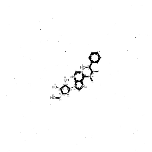 C[C@H]([C@@H](O)c1ccccc1)N(C)c1ncnc2c1ncn2[C@@H]1O[C@H](CO)[C@H](O)[C@@H]1O